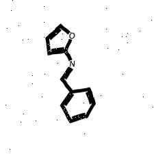 C(=Nc1ccco1)c1ccccc1